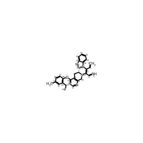 C=C/C(=C(\C=N)N1CCc2c(ncnc2Oc2ccc(C)cc2CF)C1)n1nnc2ccccc21